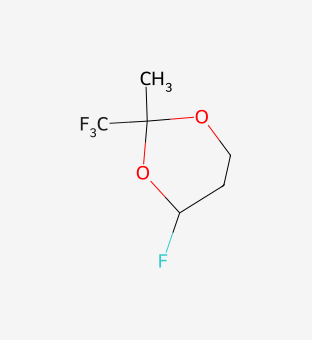 CC1(C(F)(F)F)OCCC(F)O1